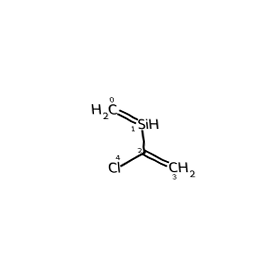 C=[SiH]C(=C)Cl